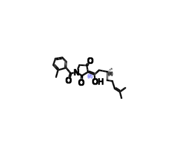 CC(C)=CCC[C@@H](C)C/C(O)=C1\C(=O)CN(C(=O)c2ccccc2C)C1=O